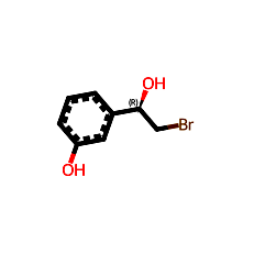 Oc1cccc([C@@H](O)CBr)c1